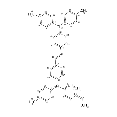 C=C(/C=C\C(C)=C/C)N(c1ccc(C)cc1)c1ccc(C=Cc2ccc(N(c3ccc(C)cc3)c3ccc(C)cc3)cc2)cc1